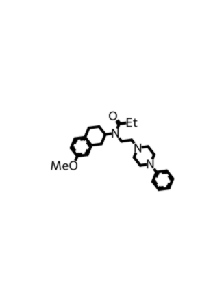 CCC(=O)N(CCN1CCN(c2ccccc2)CC1)C1CCc2ccc(OC)cc2C1